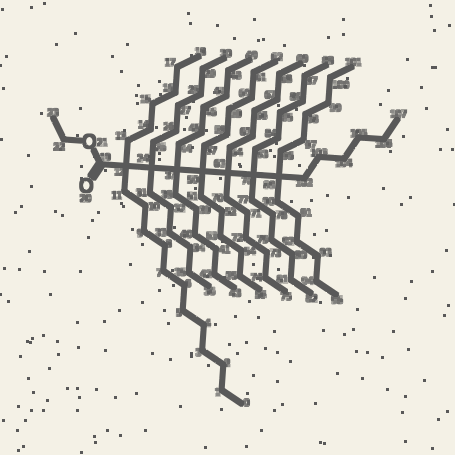 CCCCCCCCCCCCC(CCCCCC)(C(=O)OCC)C(CCCCCC)(CCCCCC)C(CCCCCC)(CCCCCC)C(CCCCCC)(CCCCCC)C(CCCCCC)(CCCCCC)C(CCCCCC)(CCCCCC)C(CCCCCC)(CCCCCC)CCCCCC